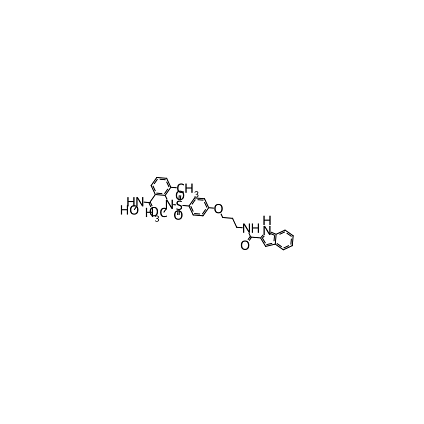 Cc1cccc(C(=O)NO)c1N(C)S(=O)(=O)c1ccc(OCCCNC(=O)c2cc3ccccc3[nH]2)cc1